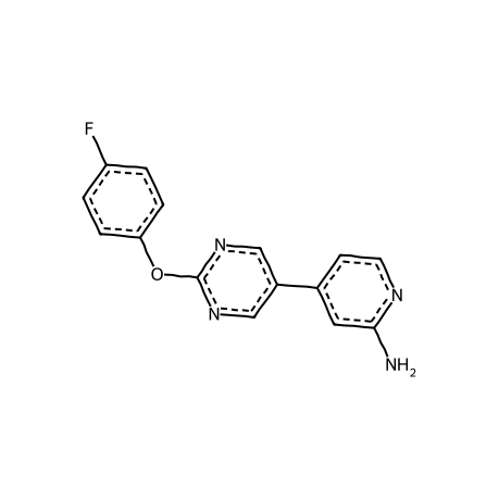 Nc1cc(-c2cnc(Oc3ccc(F)cc3)nc2)ccn1